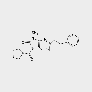 Cn1c(=O)n(C(=O)N2CCCC2)c2cnc(CCc3ccccc3)nc21